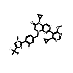 COc1ncnc(C2CC2)c1-c1ncc2c(n1)N(Cc1ccc(-c3nc(C(C)(F)F)cn3C)c(F)c1)CC(=O)N2C1CC1